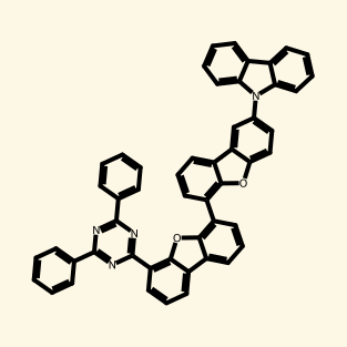 c1ccc(-c2nc(-c3ccccc3)nc(-c3cccc4c3oc3c(-c5cccc6c5oc5ccc(-n7c8ccccc8c8ccccc87)cc56)cccc34)n2)cc1